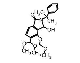 COCOc1c(C(OC)OC)ccc2c1C(O)N(C(C)(C)c1ccccc1)C2=O